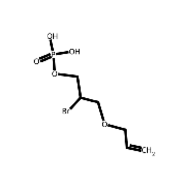 C=CCOCC(Br)COP(=O)(O)O